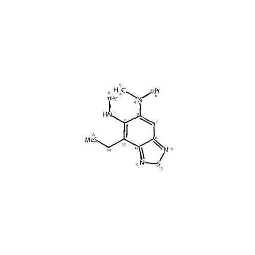 CCCNc1c(N(C)CCC)cc2nsnc2c1CSC